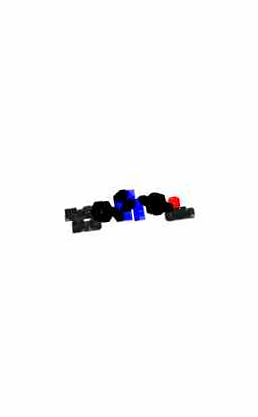 COC(=O)c1ccc(CNc2nccn3c(C4=CCC(OC)C(OC)=C4)cnc23)cc1